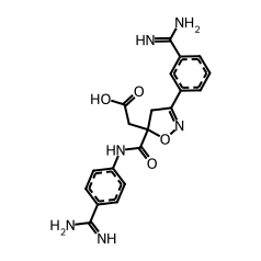 N=C(N)c1ccc(NC(=O)C2(CC(=O)O)CC(c3cccc(C(=N)N)c3)=NO2)cc1